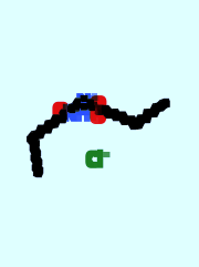 CCCCCCCC/C=C\CCCCCCCC(=O)NCCC[N+](C)(C)CCOC(=O)CCCCCCC/C=C\CCCCCCCC.[Cl-]